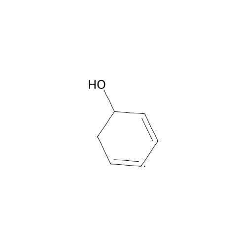 OC1C=C[C]=CC1